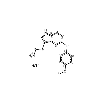 COc1ccc(Oc2ccc3[nH]cc(CCN)c3c2)cc1.Cl